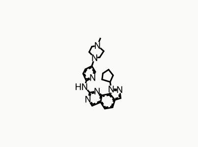 CN1CCN(c2ccc(Nc3ncc4ccc5cnn(C6CCCC6)c5c4n3)nc2)CC1